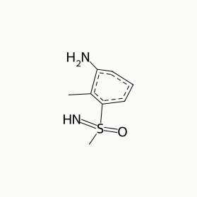 Cc1c(N)cccc1S(C)(=N)=O